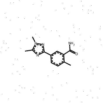 Cc1ccc(-c2nc(C)n(C)n2)cc1C(N)=O